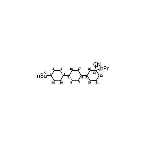 CCCC[C@H]1CC[C@H]([C@H]2CC[C@H](C3CCCC(C#N)(CCC)C3)CC2)CC1